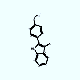 Cc1c(-c2ccc(OC(F)(F)F)cc2)[nH]c2ccccc12